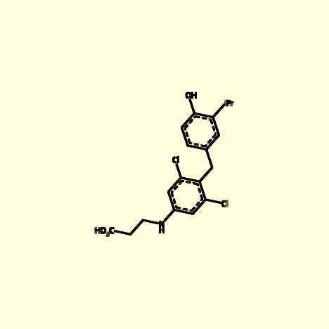 CC(C)c1cc(Cc2c(Cl)cc(NCCC(=O)O)cc2Cl)ccc1O